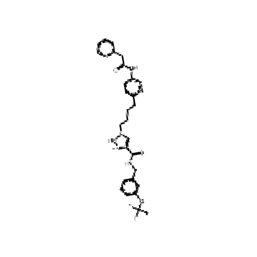 O=C(Cc1ccccn1)Nc1ccc(CCCCN2C=C(C(=O)NCc3cccc(OC(F)(F)F)c3)NN2)nn1